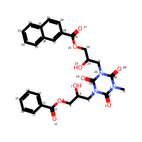 Cn1c(=O)n(CC(O)COC(=O)c2ccccc2)c(=O)n(CC(O)COC(=O)c2ccc3ccccc3c2)c1=O